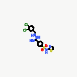 N=C(NNCc1ccc(Cl)c(Cl)c1)c1ccc(S(=O)(=O)Nc2nccs2)cc1